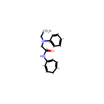 O=C(O)CN(CC(=O)NC1=CC=CCC=C1)c1ccccc1